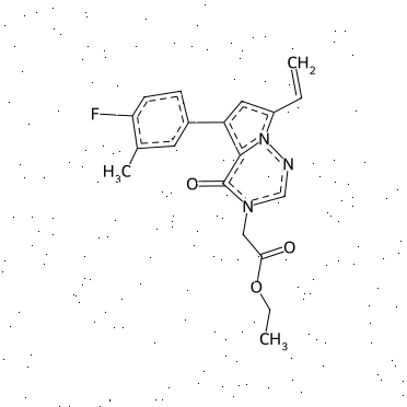 C=Cc1cc(-c2ccc(F)c(C)c2)c2c(=O)n(CC(=O)OCC)cnn12